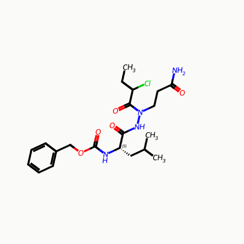 CCC(Cl)C(=O)N(CCC(N)=O)NC(=O)[C@H](CC(C)C)NC(=O)OCc1ccccc1